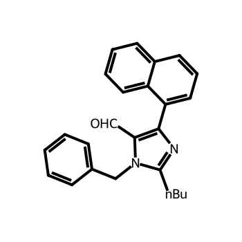 CCCCc1nc(-c2cccc3ccccc23)c(C=O)n1Cc1ccccc1